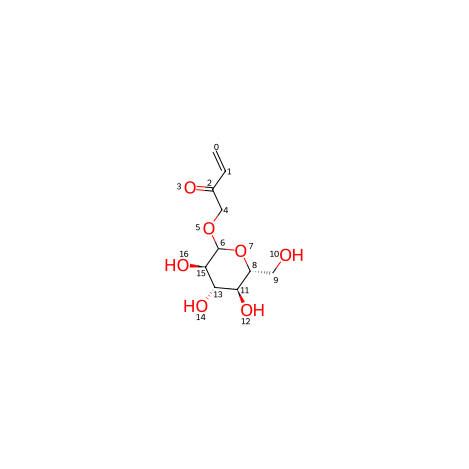 C=CC(=O)COC1O[C@H](CO)[C@@H](O)[C@H](O)[C@H]1O